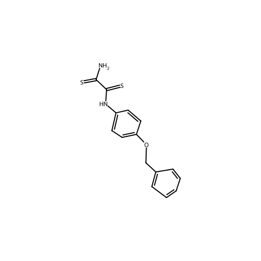 NC(=S)C(=S)Nc1ccc(OCc2ccccc2)cc1